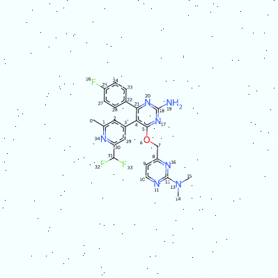 Cc1cc(-c2c(OCc3ccnc(N(C)C)n3)nc(N)nc2-c2ccc(F)cc2)cc(C(F)F)n1